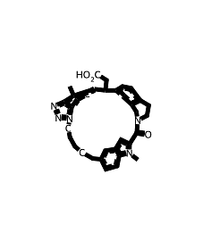 Cc1c2ccc3c1nnn3CCCCCc1ccc3c(c1)cc(n3C)C(=O)N1CCc3ccc(cc3C1)C2CC(=O)O